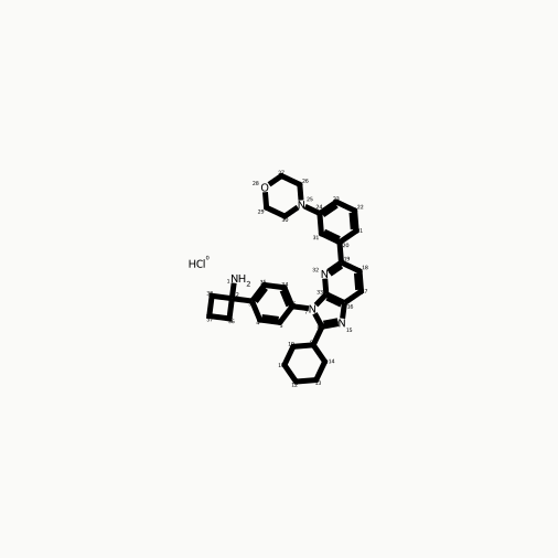 Cl.NC1(c2ccc(-n3c(C4CCCCC4)nc4ccc(-c5cccc(N6CCOCC6)c5)nc43)cc2)CCC1